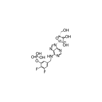 O=P(O)(O)Oc1cc(CNc2ncnc3c2ncn3[C@@H]2O[C@H](CO)[C@@H](O)[C@H]2O)cc(F)c1F